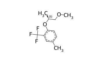 COC[C@H](C)Oc1ccc(C)cc1C(F)(F)F